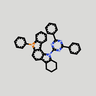 c1ccc(-c2nc(-c3ccccc3)nc(-n3c4c(c5ccc6c(c7ccccc7p6-c6ccccc6)c53)CCCC4)n2)cc1